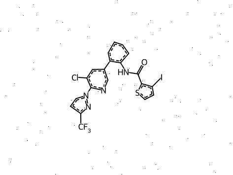 O=C(Nc1ccccc1-c1cnc(-n2ccc(C(F)(F)F)n2)c(Cl)c1)c1sccc1I